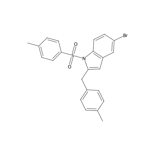 Cc1ccc(Cc2cc3cc(Br)ccc3n2S(=O)(=O)c2ccc(C)cc2)cc1